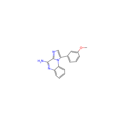 COc1cccc(-c2cnc3c(N)nc4ccccc4n23)c1